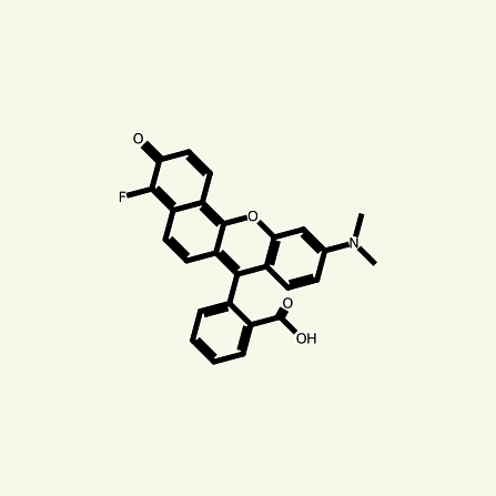 CN(C)c1ccc2c(-c3ccccc3C(=O)O)c3ccc4c(F)c(=O)ccc4c3oc2c1